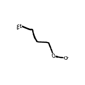 CCCCCO[O]